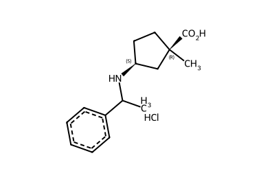 CC(N[C@H]1CC[C@@](C)(C(=O)O)C1)c1ccccc1.Cl